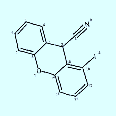 N#CC1c2ccccc2Oc2cccc(I)c21